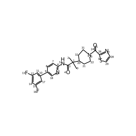 CC(C)(C(=O)Nc1ccc(-c2cc(F)cc(F)c2)cn1)C1CCN(C(=O)c2nccs2)CC1